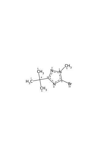 Cn1nc(C(C)(C)C)nc1Br